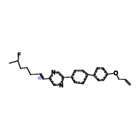 C=CCOc1ccc(-c2ccc(-c3cnc(/C=C/CCCC(C)F)cn3)cc2)cc1